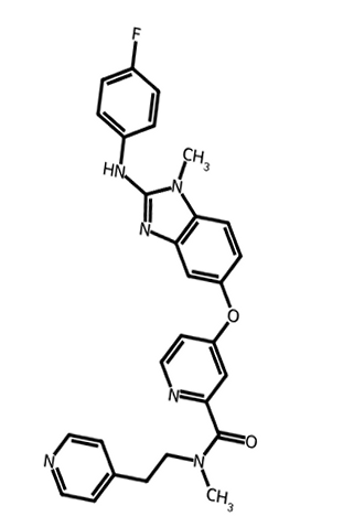 CN(CCc1ccncc1)C(=O)c1cc(Oc2ccc3c(c2)nc(Nc2ccc(F)cc2)n3C)ccn1